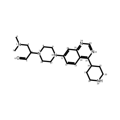 CN(C)CC(C=O)N1CCN(c2ccc3c(C4CCNCC4)ncnc3c2)CC1